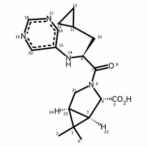 CC1(C)[C@@H]2[C@@H](C(=O)O)N(C(=O)[C@H](CC3CC3)Nc3cncnc3)C[C@@H]21